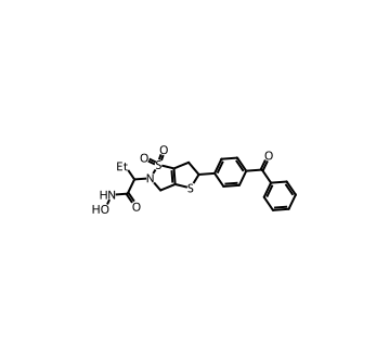 CCC(C(=O)NO)N1CC2=C(CC(c3ccc(C(=O)c4ccccc4)cc3)S2)S1(=O)=O